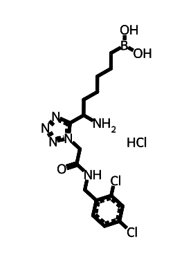 Cl.NC(CCCCCB(O)O)c1nnnn1CC(=O)NCc1ccc(Cl)cc1Cl